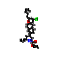 CCCCC1CC(Cl)CC2(CCc3cc(C(CCC)CNC(=O)OC)ccc3C2)O1